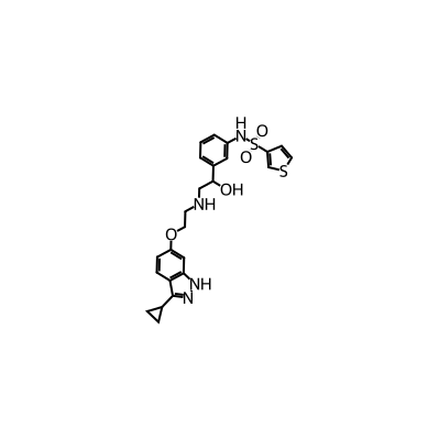 O=S(=O)(Nc1cccc(C(O)CNCCOc2ccc3c(C4CC4)n[nH]c3c2)c1)c1ccsc1